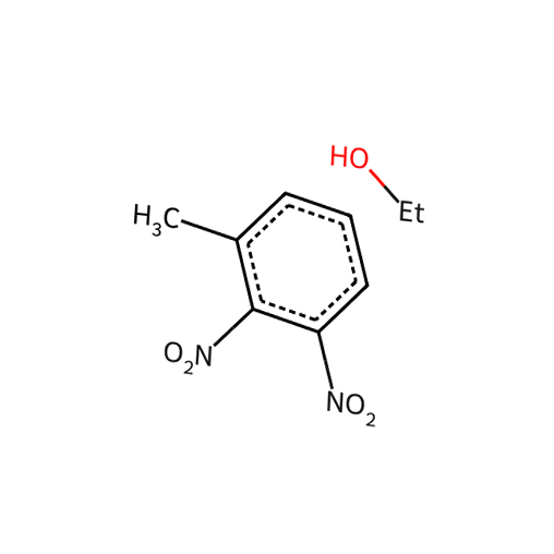 CCO.Cc1cccc([N+](=O)[O-])c1[N+](=O)[O-]